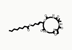 CCCCCCCC(=O)SCC/C=C/C1CC(=O)NCc2nc(co2)C(=O)NC(C)(C)C(=O)NCC(=O)O1